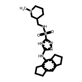 CN1CCCC(CNS(=O)(=O)c2nnc(Nc3c4c(cc5c3CCC5)CCC4)[nH]2)C1